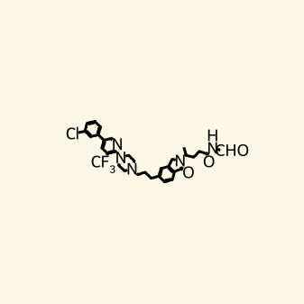 CC(CCC(=O)NC=O)N1Cc2cc(CCCN3CCN(c4ncc(-c5cccc(Cl)c5)cc4C(F)(F)F)CC3)ccc2C1=O